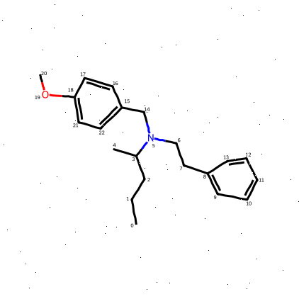 CCCC(C)N(CCc1ccccc1)Cc1ccc(OC)cc1